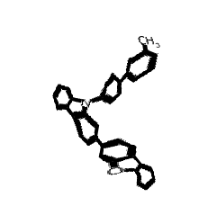 Cc1cccc(-c2ccc(-n3c4ccccc4c4ccc(-c5ccc6c(c5)oc5ccccc56)cc43)cc2)c1